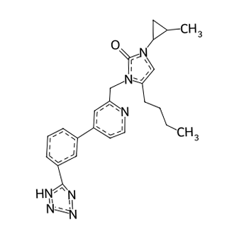 CCCCc1cn(C2CC2C)c(=O)n1Cc1cc(-c2cccc(-c3nnn[nH]3)c2)ccn1